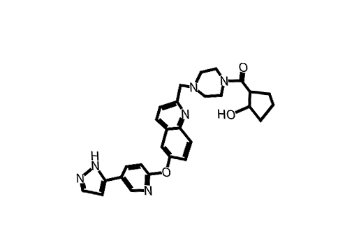 O=C(C1CCCC1O)N1CCN(Cc2ccc3cc(Oc4ccc(-c5ccn[nH]5)cn4)ccc3n2)CC1